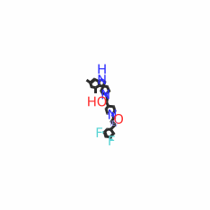 CC1=CC2NCC3(CCN(CC(O)C4CCN(C(=O)/C=C/C5CC(F)=CC(F)C5)CC4)CC3)C2C(C)C1